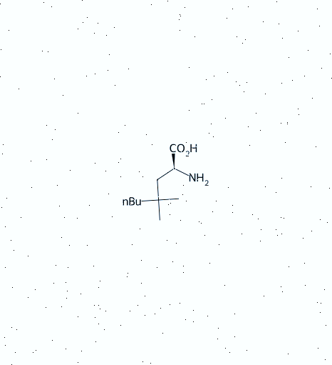 CCCCC(C)(C)C[C@H](N)C(=O)O